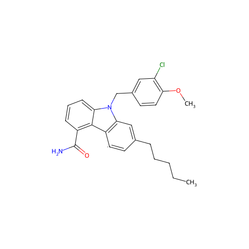 CCCCCc1c[c]c2c3c(C(N)=O)cccc3n(Cc3ccc(OC)c(Cl)c3)c2c1